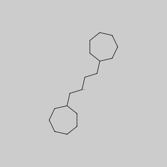 [CH](CCC1CCCCCC1)CC1CCCCCC1